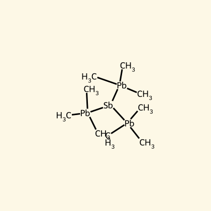 [CH3][Pb]([CH3])([CH3])[Sb]([Pb]([CH3])([CH3])[CH3])[Pb]([CH3])([CH3])[CH3]